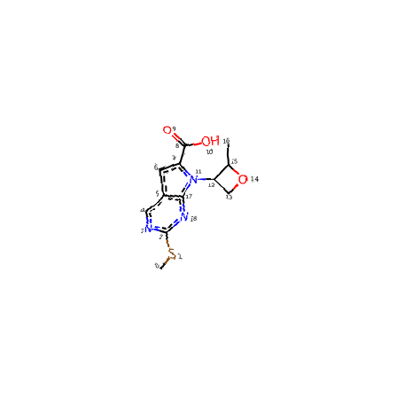 CSc1ncc2cc(C(=O)O)n(C3COC3C)c2n1